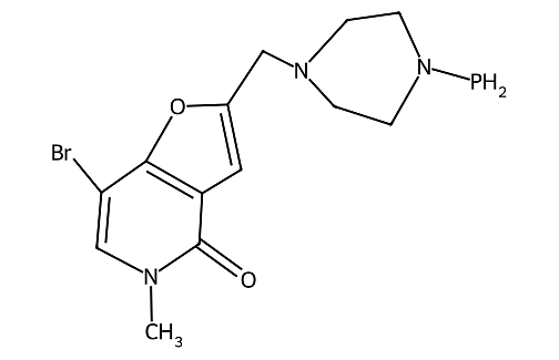 Cn1cc(Br)c2oc(CN3CCN(P)CC3)cc2c1=O